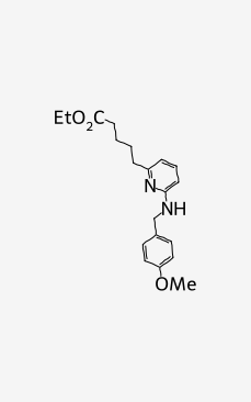 CCOC(=O)CCCCc1cccc(NCc2ccc(OC)cc2)n1